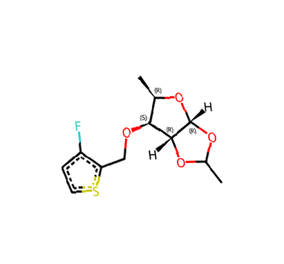 CC1O[C@H]2O[C@H](C)[C@H](OCc3sccc3F)[C@H]2O1